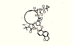 CC[C@@H]1C[C@H](C)CC/C=C\[C@@H]2C[C@@]2(C(=O)NS(=O)(=O)C2(C)CC2)NC(=O)[C@@H]2C[C@@H](Oc3nccc4c5c(ccc34)CCO5)CN2C(=O)[C@H]1N(C(=O)O)C(C)(C)C